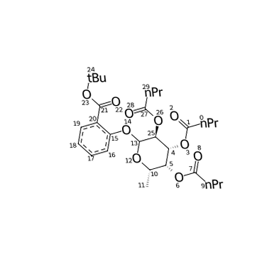 CCCC(=O)O[C@@H]1[C@H](OC(=O)CCC)[C@H](C)OC(Oc2ccccc2C(=O)OC(C)(C)C)[C@H]1OC(=O)CCC